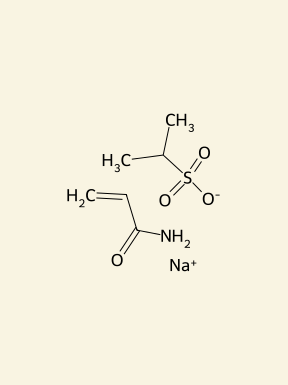 C=CC(N)=O.CC(C)S(=O)(=O)[O-].[Na+]